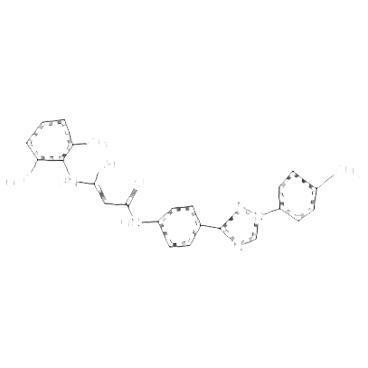 Cc1ccc(-n2cnc(-c3ccc(NC(=O)/C=C(\S)Nc4c(C)cccc4C)cc3)n2)cc1